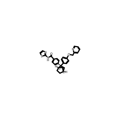 O=C(Nc1nccs1)c1ccc([C@@]2(c3ccc(OCc4ccccn4)cc3)C[C@@H]3CC[C@H]2C3)cc1